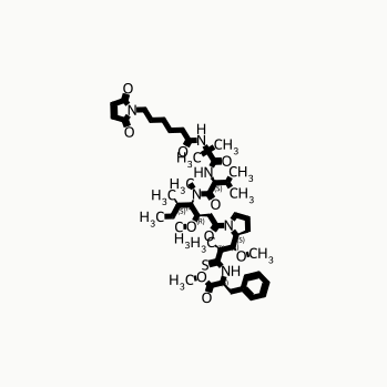 CC[C@H](C)[C@@H]([C@@H](CC(=O)N1CCC[C@H]1[C@H](OC)[C@@H](C)C(=S)N[C@@H](Cc1ccccc1)C(=O)OC)OC)N(C)C(=O)[C@@H](NC(=O)C(C)(C)NC(=O)CCCCCN1C(=O)C=CC1=O)C(C)C